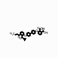 CCCC(=O)c1cccc(Oc2ccc(-c3ccc(Oc4cccc(C(=O)O)c4C(=O)O)cc3)cc2)c1C(=O)C1CC1